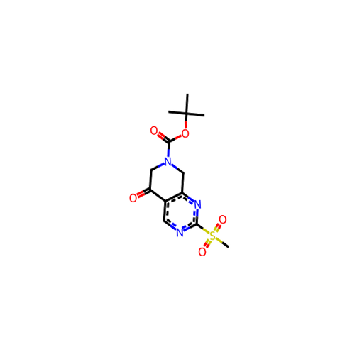 CC(C)(C)OC(=O)N1CC(=O)c2cnc(S(C)(=O)=O)nc2C1